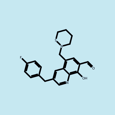 O=Cc1cc(CN2CCCCS2)c2cc(Cc3ccc(F)cc3)cnc2c1O